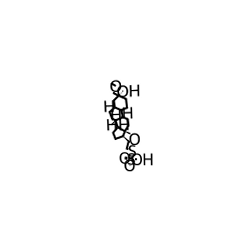 COC[C@@]1(O)CC[C@H]2[C@H](CC[C@@H]3[C@@H]2CC[C@]2(C)[C@@H](C(=O)CSS(=O)(=O)O)CC[C@@H]32)C1